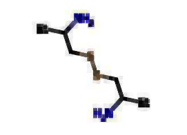 CCC(N)CSSCC(N)CC